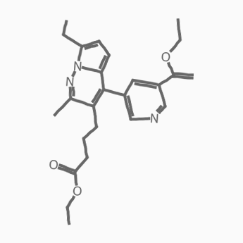 C=C(OCC)c1cncc(-c2c(CCCC(=O)OCC)c(C)nn3c(CC)ccc23)c1